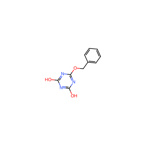 Oc1nc(O)nc(OCc2ccccc2)n1